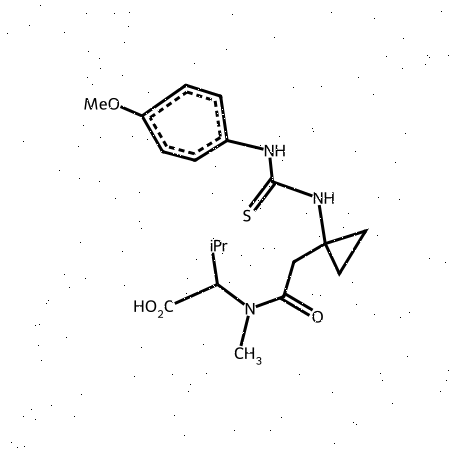 COc1ccc(NC(=S)NC2(CC(=O)N(C)C(C(=O)O)C(C)C)CC2)cc1